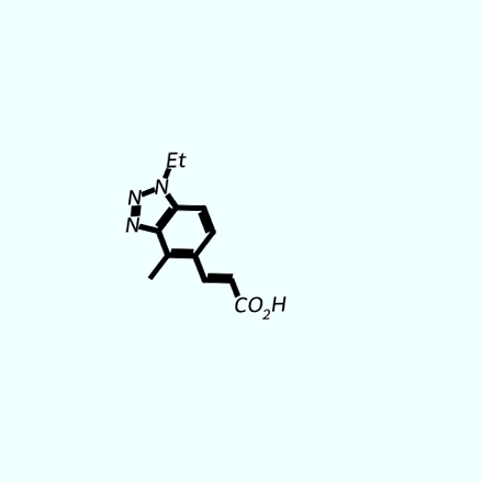 CCn1nnc2c(C)c(C=CC(=O)O)ccc21